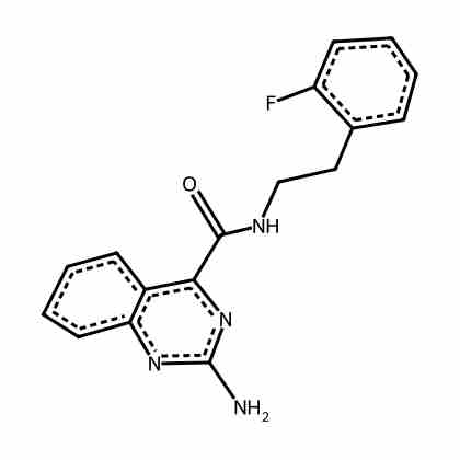 Nc1nc(C(=O)NCCc2ccccc2F)c2ccccc2n1